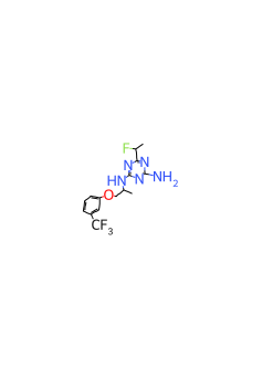 CC(COc1cccc(C(F)(F)F)c1)Nc1nc(N)nc(C(C)F)n1